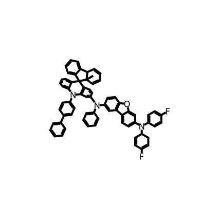 CC12C=CC=CC1c1ccccc1C21c2ccccc2N(c2ccc(-c3ccccc3)cc2)c2cc(N(c3ccccc3)c3ccc4oc5cc(N(c6ccc(F)cc6)C6C=CC(F)=CC6)ccc5c4c3)ccc21